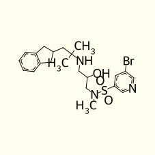 CN(CC(O)CNC(C)(C)CC1Cc2ccccc2C1)S(=O)(=O)c1cncc(Br)c1